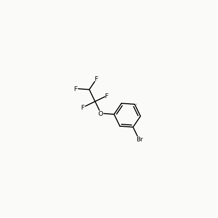 FC(F)C(F)(F)Oc1c[c]cc(Br)c1